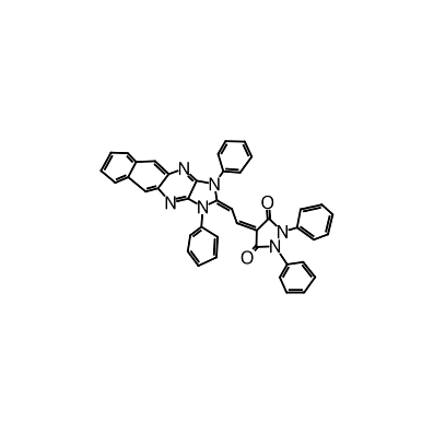 O=C1C(=CC=C2N(c3ccccc3)c3nc4cc5ccccc5cc4nc3N2c2ccccc2)C(=O)N(c2ccccc2)N1c1ccccc1